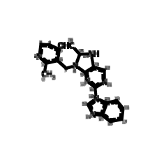 Cc1ncccc1CN1c2nc(-n3cnc4ccccc43)ncc2NC1C=O